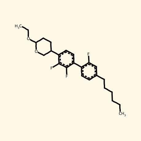 CCCCCCc1ccc(-c2ccc(C3CCC(OCC)OC3)c(F)c2F)c(F)c1